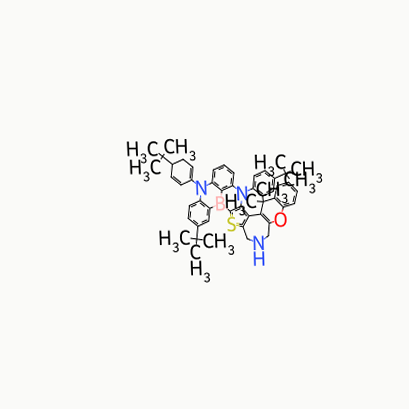 CC(C)(C)c1ccc(N2c3cccc4c3B(c3cc(C(C)(C)C)ccc3N4C3=CCC(C(C)(C)C)C=C3)c3sc4c(c32)C2=C(CNC4)Oc3ccccc3C2(C)C)cc1